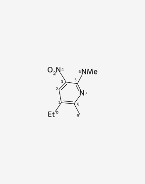 CCc1cc([N+](=O)[O-])c(NC)nc1C